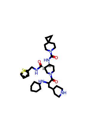 O=C(NCc1cccs1)[C@H]1CN(C(=O)C(CC2CCNCC2)NC2CCCCC2)CC[C@H]1NC(=O)N1CCC2(CC1)CC2